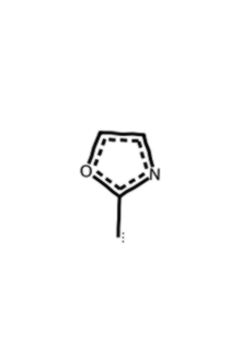 [C]c1ncco1